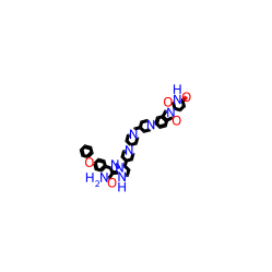 NC(=O)c1c(-c2ccc(Oc3ccccc3)cc2)nn2c1NCCC2C1CCN(C2CCN(CC3CCN(c4ccc5c(c4)CN(C4CCC(=O)NC4=O)C5=O)CC3)CC2)CC1